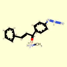 CN.[N-]=[N+]=Nc1ccc(C(=O)C=Cc2ccccc2)cc1